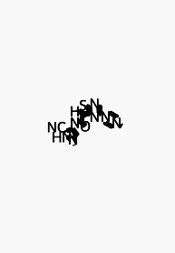 CN1CCN(c2cnc3scc(C(=O)NC4=CN(C)NC4C#N)c3n2)CC1